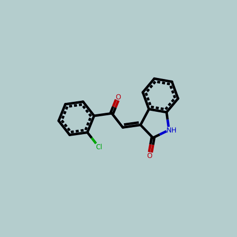 O=C1Nc2ccccc2/C1=C\C(=O)c1ccccc1Cl